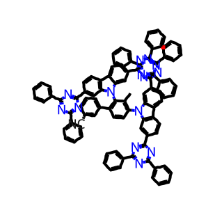 Cc1c(-n2c3cc(-c4nc(-c5ccccc5)nc(-c5ccccc5)n4)ccc3c3ccc(-c4nc(-c5ccccc5)nc(-c5ccccc5)n4)cc32)ccc(-c2cccc(C#N)c2)c1-n1c2cc(-c3nc(-c4ccccc4)nc(-c4ccccc4)n3)ccc2c2ccc(-c3nc(-c4ccccc4)nc(-c4ccccc4)n3)cc21